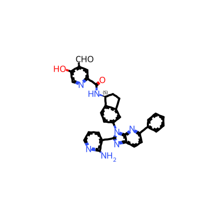 Nc1ncccc1-c1nc2ccc(-c3ccccc3)nc2n1-c1ccc2c(c1)CC[C@@H]2NC(=O)c1cc(C=O)c(O)cn1